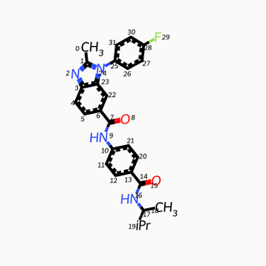 Cc1nc2ccc(C(=O)Nc3ccc(C(=O)NC(C)C(C)C)cc3)cc2n1-c1ccc(F)cc1